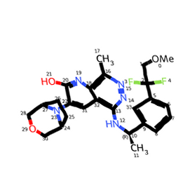 COCC(F)(F)c1cccc([C@@H](C)Nc2nnc(C)c3nc(O)c(N4C5CCC4COC5)cc23)c1